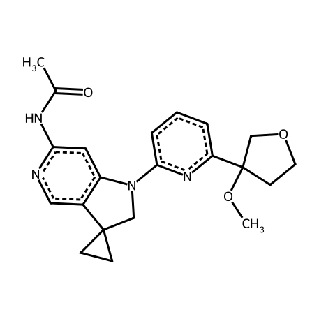 COC1(c2cccc(N3CC4(CC4)c4cnc(NC(C)=O)cc43)n2)CCOC1